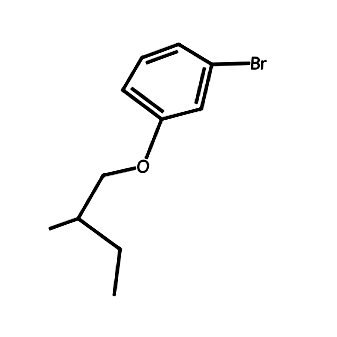 CCC(C)COc1cccc(Br)c1